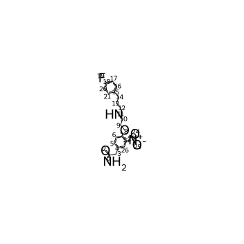 NC(=O)Cc1ccc(OCCNCCCc2ccc(F)cc2)c([N+](=O)[O-])c1